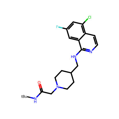 CC(C)(C)NC(=O)CN1CCC(CNc2nccc3c(Cl)cc(F)cc23)CC1